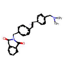 CCCN(CCC)Cc1ccc(/C=C/c2ccc(CN3C(=O)c4ccccc4C3=O)cc2)cc1